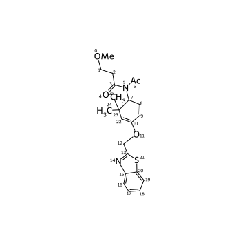 COCCC(=O)N(C(C)=O)C1C=CC(OCc2nc3ccccc3s2)=CC1(C)C